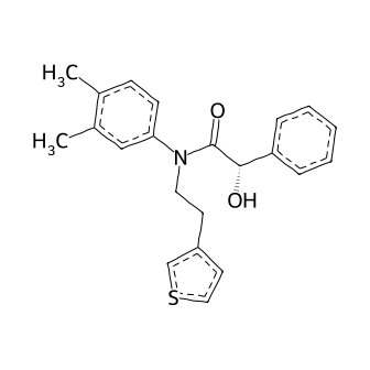 Cc1ccc(N(CCc2ccsc2)C(=O)[C@@H](O)c2ccccc2)cc1C